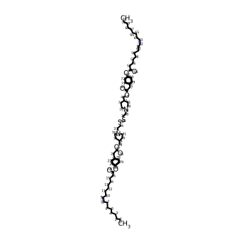 CCCCCCCC/C=C\CCCCCCCC(=O)Oc1ccc(CC(=O)OCC2CCN(CCSSCCN3CCC(COC(=O)Cc4ccc(OC(=O)CCCCCCC/C=C\CCCCCCCC)cc4)CC3)CC2)cc1